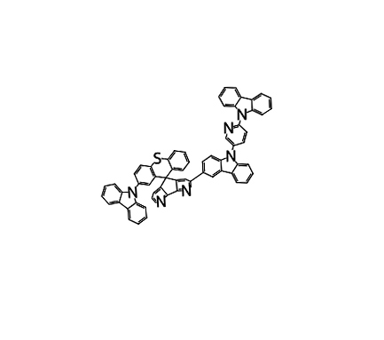 c1ccc2c(c1)Sc1ccc(-n3c4ccccc4c4ccccc43)cc1C21c2cccnc2-c2ncc(-c3ccc4c(c3)c3ccccc3n4-c3ccc(-n4c5ccccc5c5ccccc54)nc3)cc21